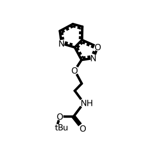 CC(C)(C)OC(=O)NCCOc1noc2cccnc12